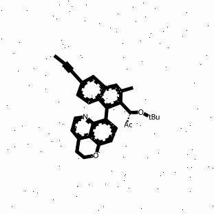 CC#Cc1ccc2c(-c3ccc4c5c(ccnc35)CCO4)c([C@H](OC(C)(C)C)C(C)=O)c(C)cc2c1